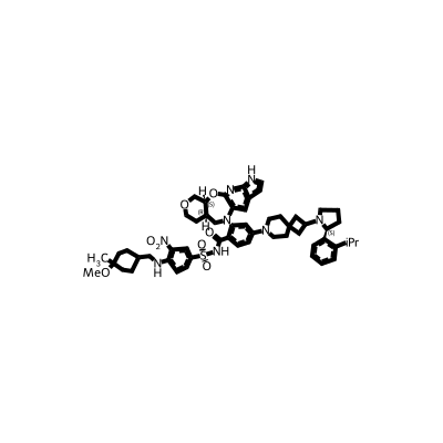 COC1(C)CCC(CNc2ccc(S(=O)(=O)NC(=O)c3ccc(N4CCC5(CC4)CC(N4CCC[C@H]4c4ccccc4C(C)C)C5)cc3N3C[C@H]4CCOC[C@H]4Oc4nc5[nH]ccc5cc43)cc2[N+](=O)[O-])CC1